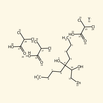 CCCCC(O)(CCCC)C(O)[CH2][Zn].O=C(O)C(Cl)Cl.O=C(O)C(Cl)Cl.O=C(O)C(Cl)Cl.[Y]